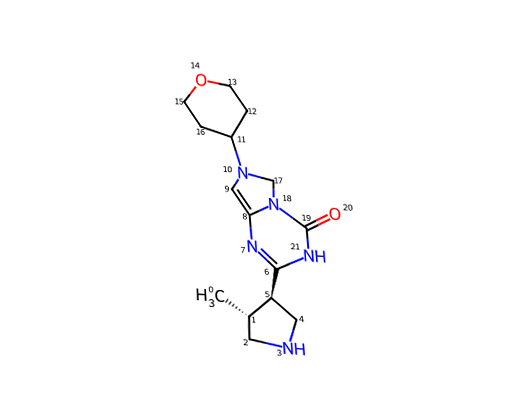 C[C@H]1CNC[C@@H]1C1=NC2=CN(C3CCOCC3)CN2C(=O)N1